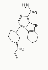 C=CC(=O)N1CCCC(c2cnc(C(N)=O)c3[nH]c4c(c23)CCCC4)C1